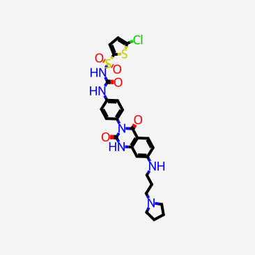 O=C(Nc1ccc(-n2c(=O)[nH]c3cc(NCCCN4CCCC4)ccc3c2=O)cc1)NS(=O)(=O)c1ccc(Cl)s1